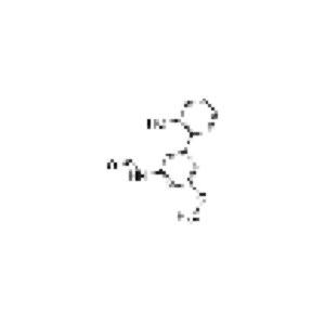 COc1cc(NC=O)cc(-c2[c]cccc2O)c1